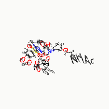 CC(=O)NCCOc1ccc(C[C@H](NC(=O)O[C@H]2CO[C@H]3OCC[C@H]32)[C@H](O)CN(CC(C)C)S(=O)(=O)c2ccc3c(c2)OCO3)cc1